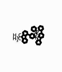 CC1(C)c2ccccc2-c2c(-c3ccc(-n4c5ccccc5c5ccc6c(c54)P(=O)(c4ccccc4)c4ccccc4-6)cc3)cccc21